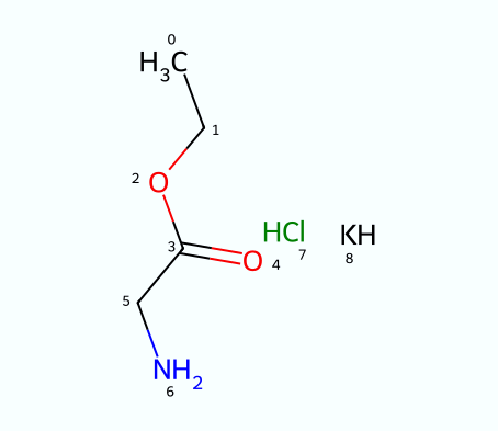 CCOC(=O)CN.Cl.[KH]